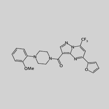 COc1ccccc1N1CCN(C(=O)c2cnn3c(C(F)(F)F)cc(-c4ccco4)nc23)CC1